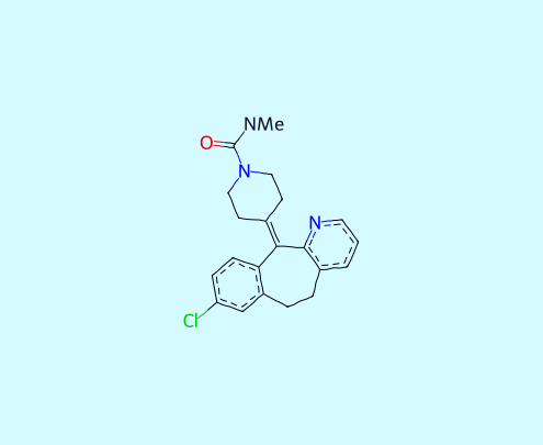 CNC(=O)N1CCC(=C2c3ccc(Cl)cc3CCc3cccnc32)CC1